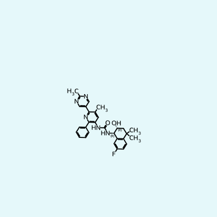 Cc1ncc(-c2nc(-c3ccccc3)c(NC(=O)N[C@@H]3c4cc(F)ccc4C(C)(C)C[C@H]3O)cc2C)cn1